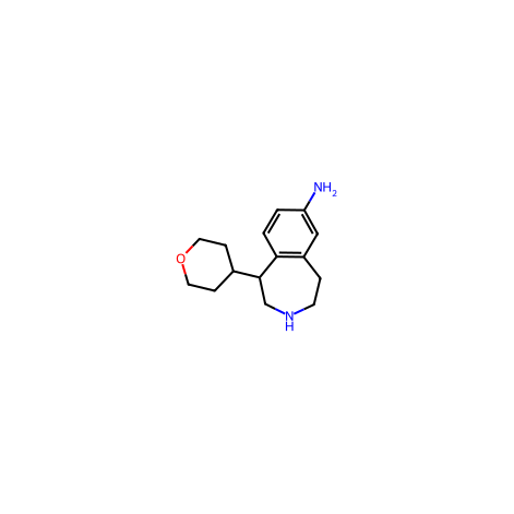 Nc1ccc2c(c1)CCNCC2C1CCOCC1